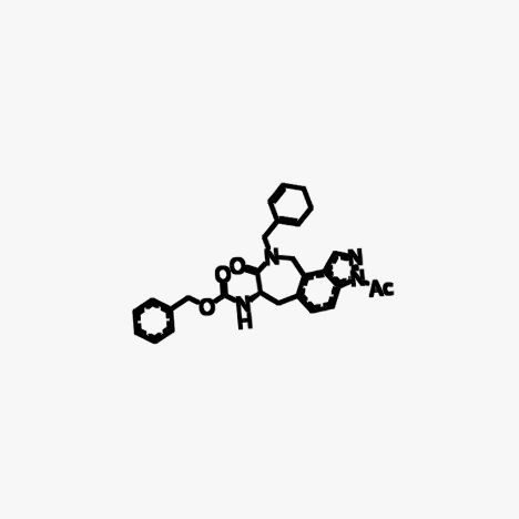 CC(=O)n1ncc2c3c(ccc21)C[C@@H](NC(=O)OCc1ccccc1)C(=O)N(CC1=CCCC=C1)C3